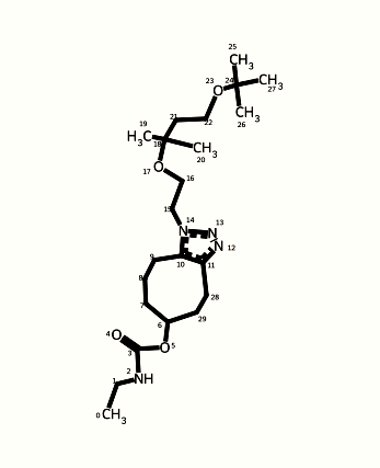 CCNC(=O)OC1CCCc2c(nnn2CCOC(C)(C)CCOC(C)(C)C)CC1